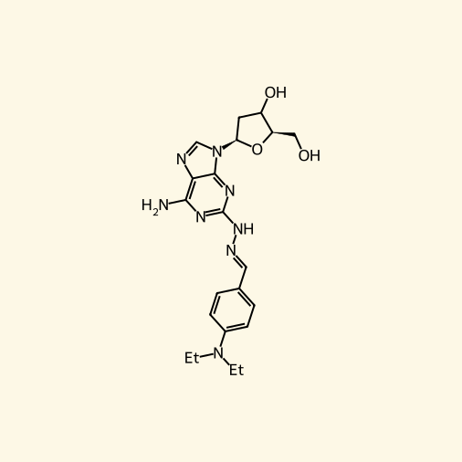 CCN(CC)c1ccc(/C=N/Nc2nc(N)c3ncn([C@H]4CC(O)[C@@H](CO)O4)c3n2)cc1